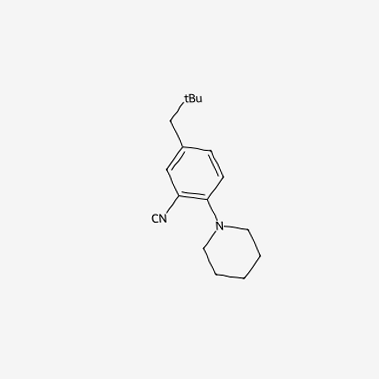 [C-]#[N+]c1cc(CC(C)(C)C)ccc1N1CCCCC1